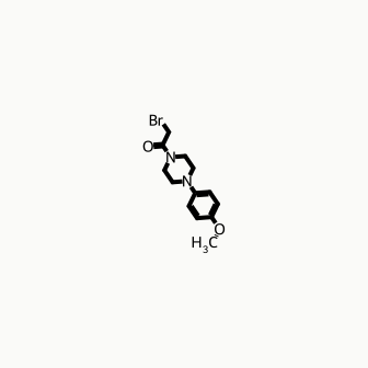 COc1ccc(N2CCN(C(=O)CBr)CC2)cc1